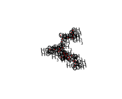 CC[C@H](C)C(CC(O)CC(=O)O[C@H]1[C@@H](O)[C@H](O[C@@H]2O[C@@H](C)[C@H](O[C@@H]3OC[C@@H](O)[C@H](O)[C@H]3O)[C@@H](O)[C@H]2O)[C@@H](OC(=O)[C@]23CCC(C)(C)C[C@H]2C2=CCC4[C@@]5(C)CC[C@H](OC6O[C@H](C(=O)O)[C@@H](O)[C@H](O)[C@H]6O)[C@@](C)(C=O)C5CC[C@@]4(C)[C@]2(C)C[C@H]3O)O[C@H]1C)OC(=O)CC(O)CC(O[C@@H]1O[C@@H](CO)[C@H](O)[C@H]1O)[C@@H](C)CC